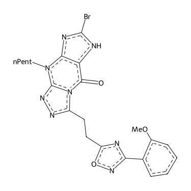 CCCCCn1c2nc(Br)[nH]c2c(=O)n2c(CCc3nc(-c4ccccc4OC)no3)nnc12